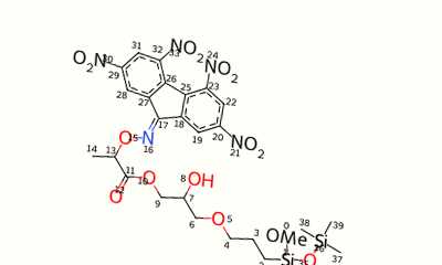 CO[Si](CCCOCC(O)COC(=O)C(C)ON=C1c2cc([N+](=O)[O-])cc([N+](=O)[O-])c2-c2c1cc([N+](=O)[O-])cc2[N+](=O)[O-])(OC)O[Si](C)(C)C